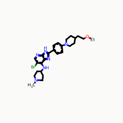 CCOCCC1CCN(c2ccc(-c3nc4c(NC5CCN(C)CC5)c(Br)cnc4[nH]3)cc2)CC1